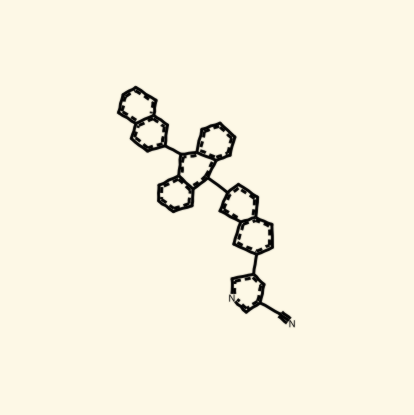 N#Cc1cncc(-c2ccc3ccc(-c4c5ccccc5c(-c5ccc6ccccc6c5)c5ccccc45)cc3c2)c1